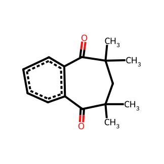 CC1(C)CC(C)(C)C(=O)c2ccccc2C1=O